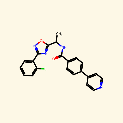 CC(NC(=O)c1ccc(-c2ccncc2)cc1)c1nc(-c2ccccc2Cl)no1